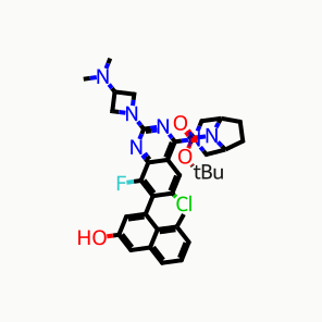 Cc1cccc2cc(O)cc(-c3c(Cl)cc4c(N5CC6CCC(C5)N6C(=O)OC(C)(C)C)nc(N5CC(N(C)C)C5)nc4c3F)c12